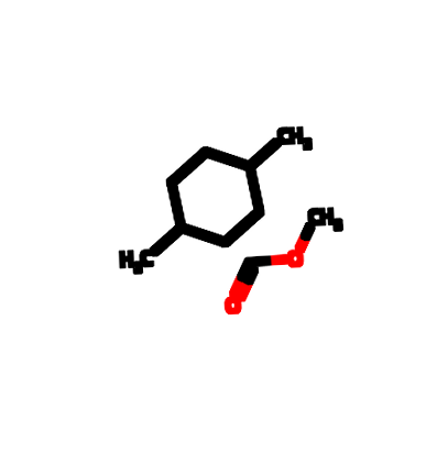 CC1CCC(C)CC1.COC=O